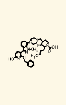 CCCCC1C(F)C(CN2CCN(c3cccc4c(-c5ccc(O)nc5OCc5ccccc5)nn(C)c34)CC2)CCN1C(=O)O